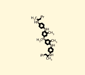 Cc1cc(N(C)c2ccc(Nc3ccc(NC(C)CC(C)C)cc3)c(C)c2)ccc1Nc1ccc(NC(C)CC(C)C)cc1